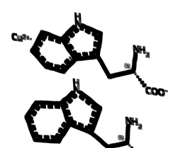 N[C@@H](Cc1c[nH]c2ccccc12)C(=O)[O-].N[C@@H](Cc1c[nH]c2ccccc12)C(=O)[O-].[Cu+2]